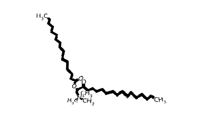 CCCCCCCCCCCCCCCC(=O)OC(C[N+](C)(C)C)C(=O)CCCCCCCCCCCCCCC